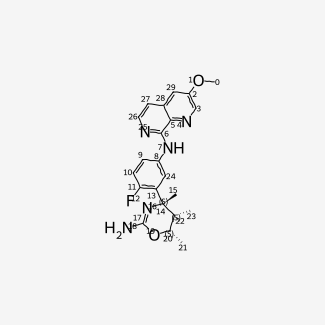 COc1cnc2c(Nc3ccc(F)c([C@@]4(C)N=C(N)O[C@@H](C)[C@H]4C)c3)nccc2c1